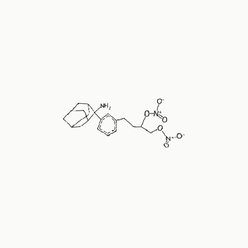 NC1(c2cccc(CCC(CO[N+](=O)[O-])O[N+](=O)[O-])c2)C2CC3CC(C2)CC1C3